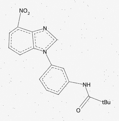 CC(C)(C)C(=O)Nc1cccc(-n2cnc3c([N+](=O)[O-])cccc32)c1